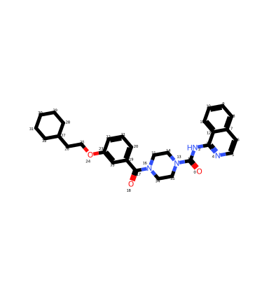 O=C(Nc1nccc2ccccc12)N1CCN(C(=O)c2cccc(OCCC3CCCCC3)c2)CC1